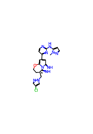 Cn1nccc1Nc1nccc(-c2cc3n(c(=N)c2)C(=N)[C@@H](Cn2cc(Cl)cn2)CCO3)n1